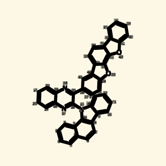 c1ccc2c(c1)ccc1c3ccccc3n(-c3nc4ccccc4nc3-c3ccc4oc5c(ccc6c7ccccc7oc65)c4c3)c21